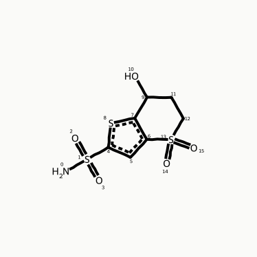 NS(=O)(=O)c1cc2c(s1)C(O)CCS2(=O)=O